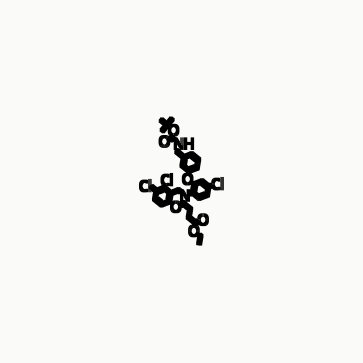 CCOC(=O)CCC(=O)N(Cc1cccc(Cl)c1Cl)c1ccc(Cl)cc1Oc1cccc(CNC(=O)OC(C)(C)C)c1